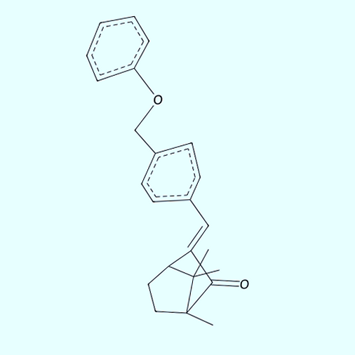 CC12CCC(C(=Cc3ccc(COc4ccccc4)cc3)C1=O)C2(C)C